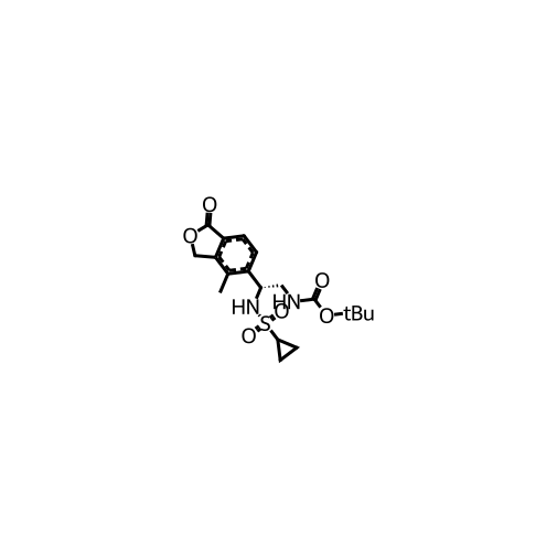 Cc1c([C@H](CNC(=O)OC(C)(C)C)NS(=O)(=O)C2CC2)ccc2c1COC2=O